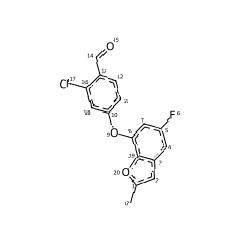 Cc1cc2cc(F)cc(Oc3ccc(C=O)c(Cl)c3)c2o1